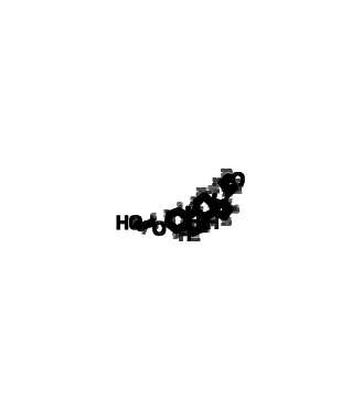 C[C@]12CC[C@H](OCCO)C[C@H]1CC[C@H]1[C@H]3CC[C@H](c4ccoc4)[C@@]3(C)CC[C@@H]12